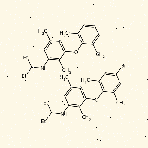 CCC(CC)Nc1cc(C)nc(Oc2c(C)cc(Br)cc2C)c1C.CCC(CC)Nc1cc(C)nc(Oc2c(C)cccc2C)c1C